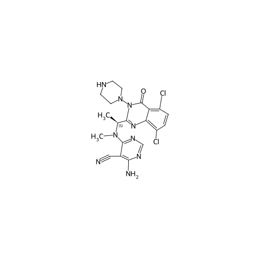 C[C@@H](c1nc2c(Cl)ccc(Cl)c2c(=O)n1N1CCNCC1)N(C)c1ncnc(N)c1C#N